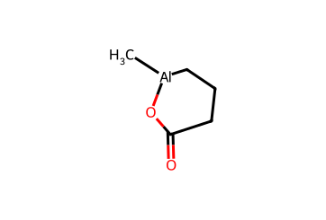 [CH3][Al]1[CH2]CCC(=O)[O]1